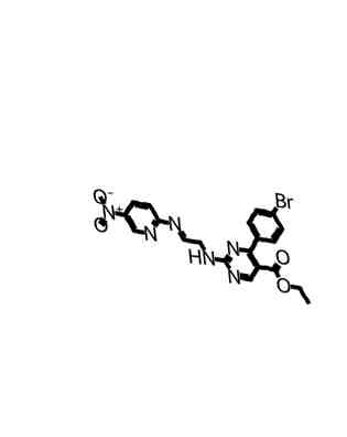 CCOC(=O)c1cnc(NCC=Nc2ccc([N+](=O)[O-])cn2)nc1-c1ccc(Br)cc1